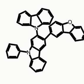 c1ccc(-n2c3ccccc3c3cc(-c4ccc5oc6ccccc6c5c4)c(-n4c5ccccc5c5ccccc54)cc32)cc1